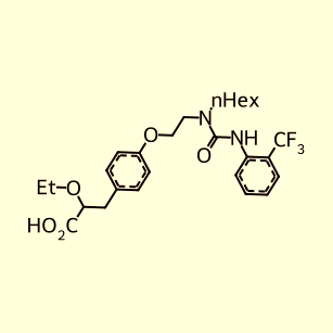 CCCCCCN(CCOc1ccc(CC(OCC)C(=O)O)cc1)C(=O)Nc1ccccc1C(F)(F)F